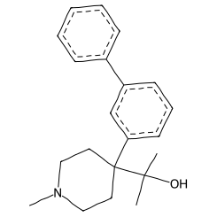 CN1CCC(c2cccc(-c3ccccc3)c2)(C(C)(C)O)CC1